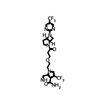 N=Cc1c(C(N)=O)c(C(F)(F)F)cn1CCOCCC(=O)N1CC[C@@H]2[C@H]1CN2c1ncc(C(F)(F)F)cn1